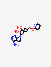 Nc1ncnc2c1ccn2[C@@H]1C[C@]2(C[C@@H](COc3cccc(Cl)n3)C2)[C@@H](O)[C@H]1O